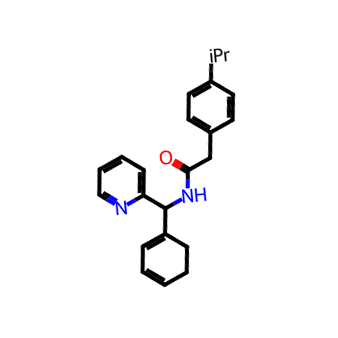 CC(C)c1ccc(CC(=O)NC(C2=CC=CCC2)c2ccccn2)cc1